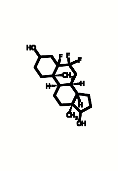 C[C@]12CC[C@@H]3[C@@H](CC(F)(F)C4(F)CC(O)CC[C@]34C)[C@@H]1CCC2O